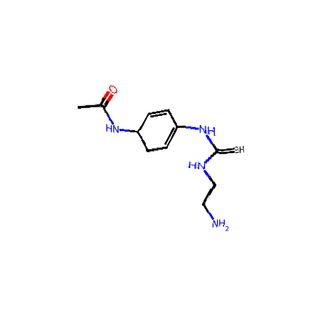 B=C(NCCN)NC1=CCC(NC(C)=O)C=C1